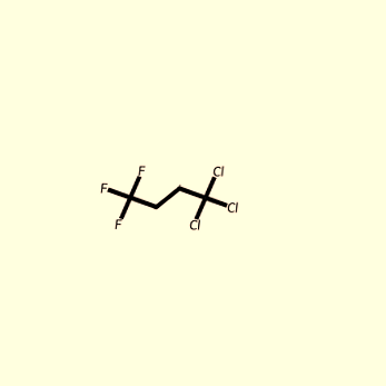 FC(F)(F)C[CH]C(Cl)(Cl)Cl